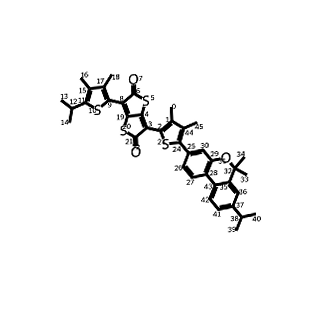 Cc1c(C2=C3SC(=O)C(c4sc(C(C)C)c(C)c4C)=C3SC2=O)sc(-c2ccc3c(c2)OC(C)(C)c2cc(C(C)C)ccc2-3)c1C